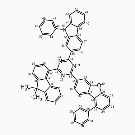 CC1(C)c2ccccc2-c2c(-c3nc(-c4ccc5c(c4)oc4cccc(-c6ccccc6)c45)nc(-c4ccc5c6ccccc6n(-c6ccccc6)c5c4)n3)cccc21